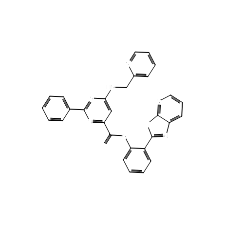 O=C(Nc1ccccc1-c1nc2cccnc2s1)c1cc(NCc2ccccn2)nc(-c2ccccc2)n1